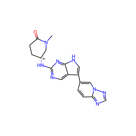 CN1C[C@H](Nc2ncc3c(-c4ccc5ncnn5c4)c[nH]c3n2)CCC1=O